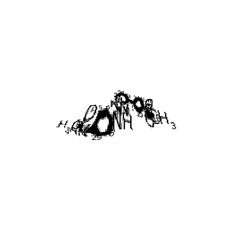 CC(=O)Nc1ccc(Nc2nc3c(-c4ccc(S(C)(=O)=O)cc4)cccn3n2)cc1